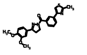 COc1ccc(C2=NN(C(=O)c3cccc(-c4csc(C)n4)c3)CC2)cc1OC